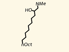 CCCCCCCCCCCCCCCCC(O)CNC